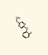 OCc1cnc(Oc2ccccc2F)cn1